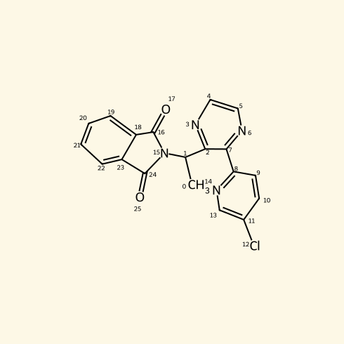 CC(c1nccnc1-c1ccc(Cl)cn1)N1C(=O)c2ccccc2C1=O